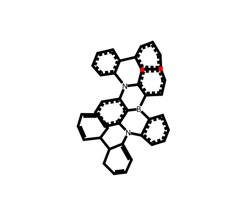 C1=CCC(C2CC=CC=C2N2c3ccccc3B3c4ccccc4N(c4ccccc4-c4ccccc4)c4cccc2c43)C=C1